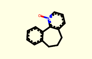 [O-][n+]1cccc2c1-c1ccccc1CCC2